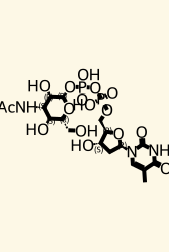 CC(=O)N[C@@H]1[C@@H](O)[C@@H](OP(=O)(O)OP(=O)(O)OC[C@H]2O[C@@H](n3cc(C)c(=O)[nH]c3=O)C[C@@H]2O)O[C@H](CO)[C@H]1O